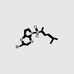 CC(C)=C/C=C(\C)S(=O)(=O)n1ccc2nc(Br)cnc21